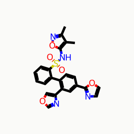 Cc1noc(NS(=O)(=O)c2ccccc2-c2ccc(-c3ncco3)cc2-c2cocn2)c1C